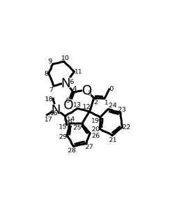 C/C=C(\OC(=O)N1CCCCC1)C(CC(C)N(C)C)(c1ccccc1)c1ccccc1